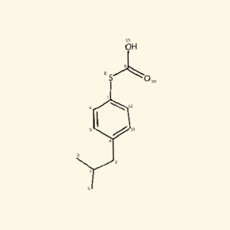 CC(C)Cc1ccc(SC(=O)O)cc1